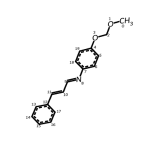 COCOc1ccc(N=CC=Cc2ccccc2)cc1